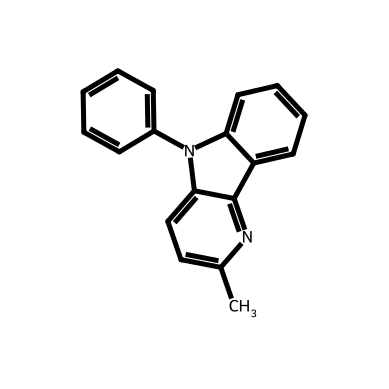 Cc1ccc2c(n1)c1ccccc1n2-c1ccccc1